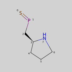 S=PC[C@@H]1CCCN1